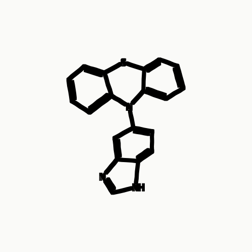 c1ccc2c(c1)Sc1ccccc1N2c1ccc2[nH]cnc2c1